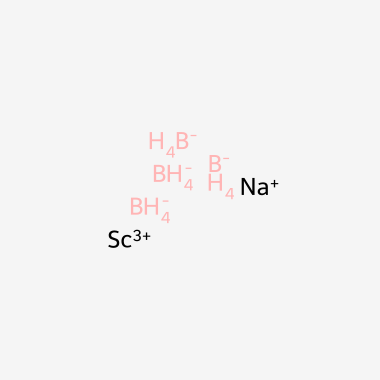 [BH4-].[BH4-].[BH4-].[BH4-].[Na+].[Sc+3]